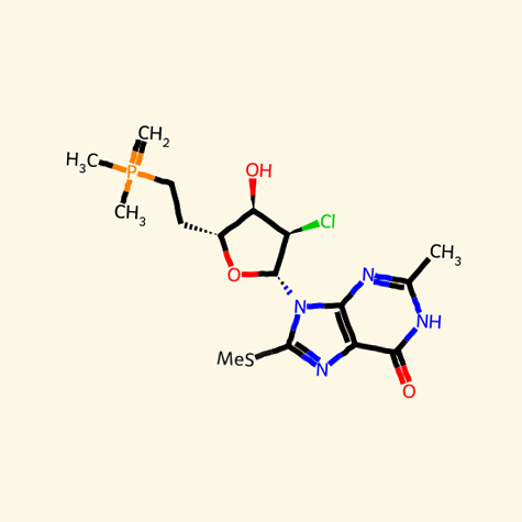 C=P(C)(C)CC[C@H]1O[C@@H](n2c(SC)nc3c(=O)[nH]c(C)nc32)[C@H](Cl)[C@@H]1O